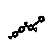 COc1ccc(N2CCN(C(=O)c3ccc(OC)c(C#Cc4ccccn4)c3)CC2)cc1